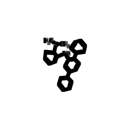 CN(C)c1ccccc1Nc1cc(-c2ccccc2)ccc1-c1ccccc1